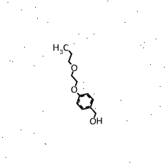 CCCOCCOc1ccc(CO)cc1